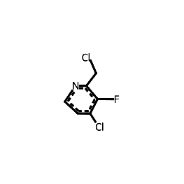 Fc1c(Cl)ccnc1CCl